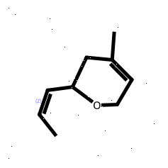 C/C=C\C1CC(C)=CCO1